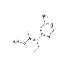 CC/C(=C(/C)ON)c1cc(N)ncn1